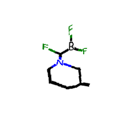 CC1CCCN(C(F)B(F)F)C1